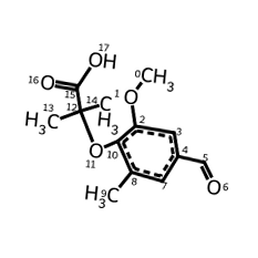 COc1cc(C=O)cc(C)c1OC(C)(C)C(=O)O